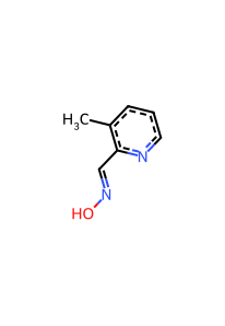 Cc1cccnc1C=NO